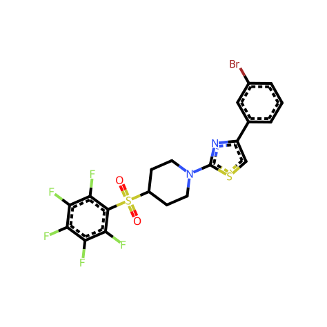 O=S(=O)(c1c(F)c(F)c(F)c(F)c1F)C1CCN(c2nc(-c3cccc(Br)c3)cs2)CC1